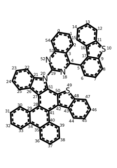 c1ccc2c(-c3cccc4sc5ccccc5c34)nc(-n3c4ccccc4c4c5c6ccccc6c6ccccc6c5c5c6ccccc6sc5c43)nc2c1